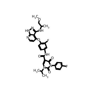 COCC(C)Nc1n[nH]c2nccc(Oc3ccc(NC(=O)c4cn(C(C)C)c(=O)n(-c5ccc(F)cc5)c4=O)cc3F)c12